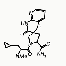 CN[C@@H](CC1CC1)C(=O)N1C[C@@]2(C[C@H]1C(N)=O)Oc1cccnc1NC2=O